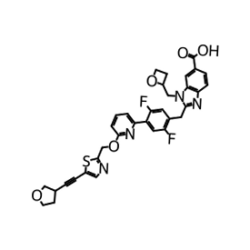 O=C(O)c1ccc2nc(Cc3cc(F)c(-c4cccc(OCc5ncc(C#CC6CCOC6)s5)n4)cc3F)n(CC3CCO3)c2c1